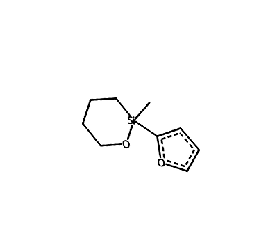 C[Si]1(c2ccco2)CCCCO1